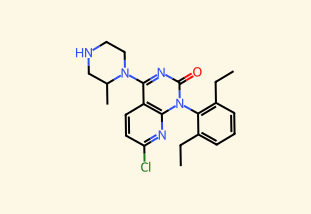 CCc1cccc(CC)c1-n1c(=O)nc(N2CCNCC2C)c2ccc(Cl)nc21